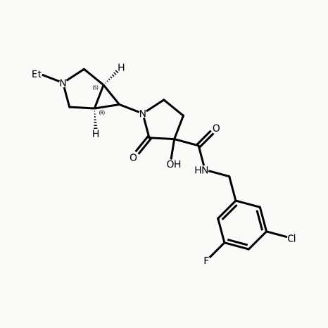 CCN1C[C@@H]2C(N3CCC(O)(C(=O)NCc4cc(F)cc(Cl)c4)C3=O)[C@@H]2C1